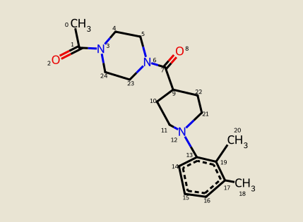 CC(=O)N1CCN(C(=O)C2CCN(c3cccc(C)c3C)CC2)CC1